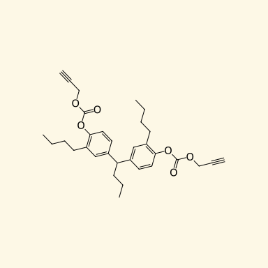 C#CCOC(=O)Oc1ccc(C(CCC)c2ccc(OC(=O)OCC#C)c(CCCC)c2)cc1CCCC